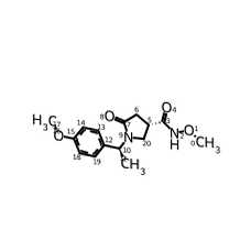 CONC(=O)[C@H]1CC(=O)N([C@@H](C)c2ccc(OC)cc2)C1